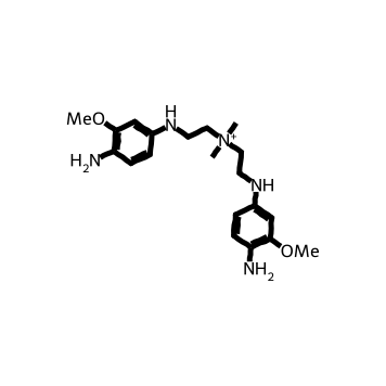 COc1cc(NCC[N+](C)(C)CCNc2ccc(N)c(OC)c2)ccc1N